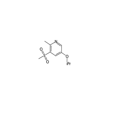 Cc1ncc(OC(C)C)cc1S(C)(=O)=O